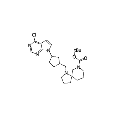 CC(C)(C)OC(=O)N1CCCC2(CCCN2CC2CCC(n3ccc4c(Cl)ncnc43)C2)C1